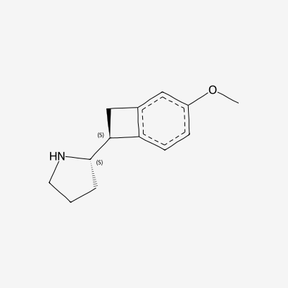 COc1ccc2c(c1)C[C@@H]2[C@@H]1CCCN1